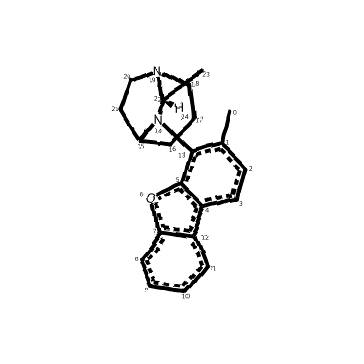 Cc1ccc2c(oc3ccccc32)c1N1C2CCCN(CC2)[C@@H]1C